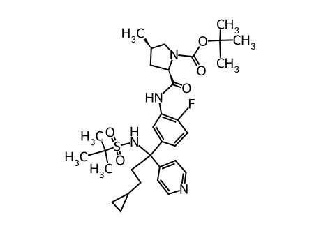 C[C@@H]1C[C@H](C(=O)Nc2cc(C(CCC3CC3)(NS(=O)(=O)C(C)(C)C)c3ccncc3)ccc2F)N(C(=O)OC(C)(C)C)C1